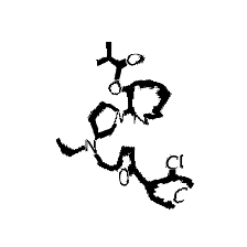 CCN(Cc1ccc(-c2ccccc2Cl)o1)[C@@H]1CCN(c2ncccc2OC(=O)C(C)C)C1